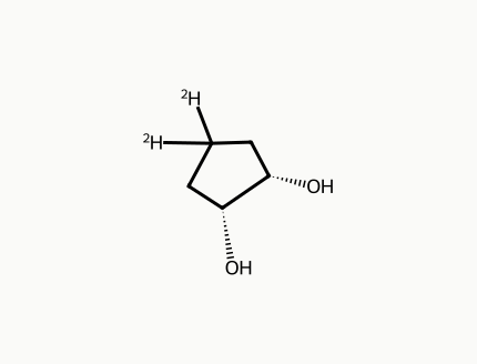 [2H]C1([2H])C[C@@H](O)[C@@H](O)C1